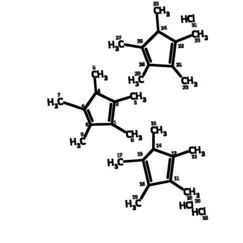 CC1=C(C)C(C)C(C)=C1C.CC1=C(C)C(C)C(C)=C1C.CC1=C(C)C(C)C(C)=C1C.Cl.Cl.Cl